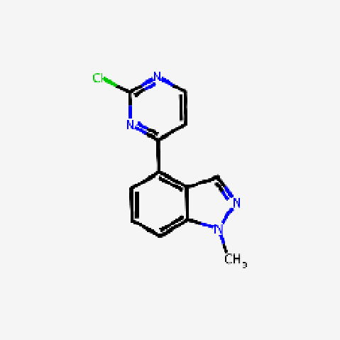 Cn1ncc2c(-c3ccnc(Cl)n3)cccc21